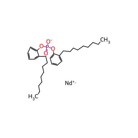 CCCCCCCCCc1ccccc1OP(=O)([O-])Oc1ccccc1CCCCCCCCC.[Nd+]